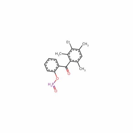 CCc1c(C)cc(C)c(C(=O)c2ccccc2O[PH2]=O)c1C